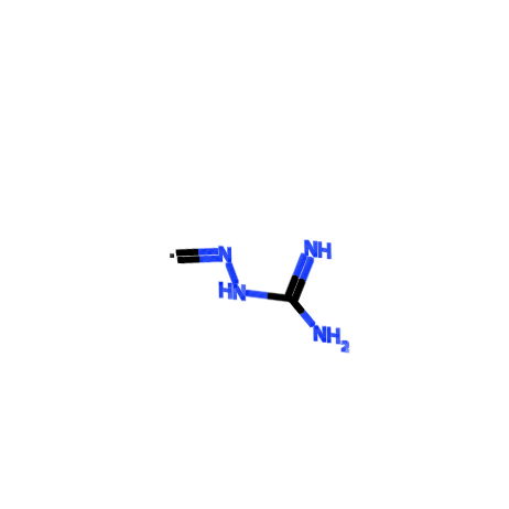 [CH]=NNC(=N)N